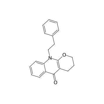 O=c1c2c(n(CCc3ccccc3)c3ccccc13)OCCC2